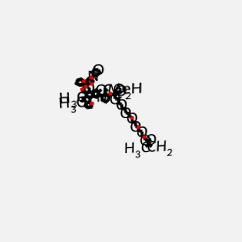 C=C(C)C(=O)OCCOCCOCCOCCOCCOCCOC(=C=O)CC1CCCN(c2cc3c4c(c5c(c3cc2OC)OC(c2ccccc2)(c2ccc(N3CCOCC3)cc2)C=C5)C(C)(C)c2ccccc2-4)C1=CC(=O)O